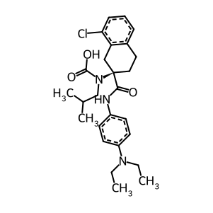 CCN(CC)c1ccc(NC(=O)[C@@]2(N(CC(C)C)C(=O)O)CCc3cccc(Cl)c3C2)cc1